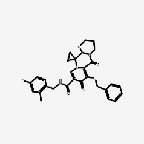 O=C(NCc1ccc(F)cc1F)c1cn2c(c(OCc3ccccc3)c1=O)C(=O)N1CCCOC1C21CC1